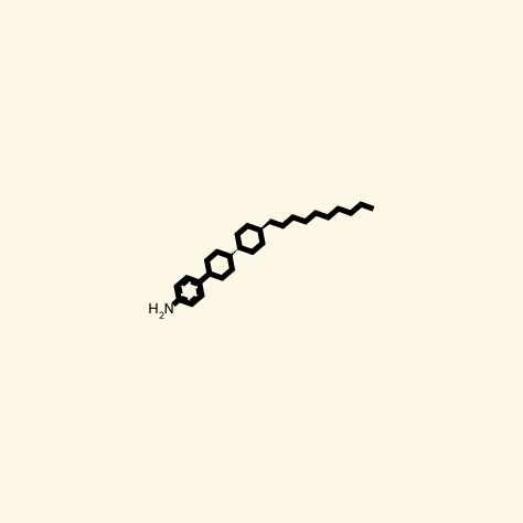 CCCCCCCCCC[C@H]1CC[C@H](C2CCC(c3ccc(N)cc3)CC2)CC1